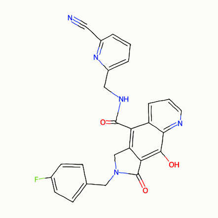 N#Cc1cccc(CNC(=O)c2c3c(c(O)c4ncccc24)C(=O)N(Cc2ccc(F)cc2)C3)n1